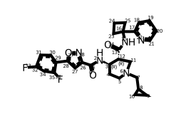 O=C(N[C@@H]1CCN(CC2CC2)C[C@H]1C(=O)NC1(c2ccccn2)CCC1)c1cc(-c2ccc(F)cc2F)on1